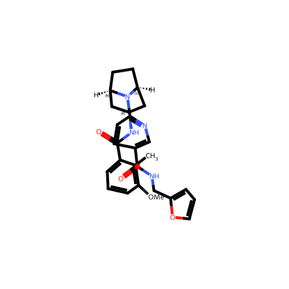 COc1cccc(C(=O)N[C@H]2C[C@H]3CC[C@@H](C2)N3c2ccc(C(=O)NCc3ccco3)cn2)c1C